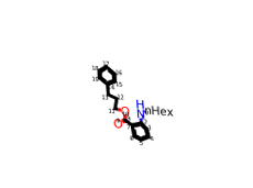 CCCCCCNc1ccccc1C(=O)OCCCc1ccccc1